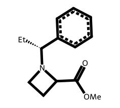 CC[C@H](c1ccccc1)N1CCC1C(=O)OC